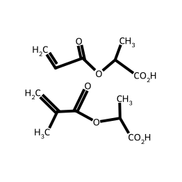 C=C(C)C(=O)OC(C)C(=O)O.C=CC(=O)OC(C)C(=O)O